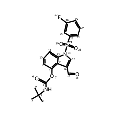 CC(C)(C)NC(=O)Oc1cccc2c1c(C=O)cn2S(=O)(=O)c1cccc(F)c1